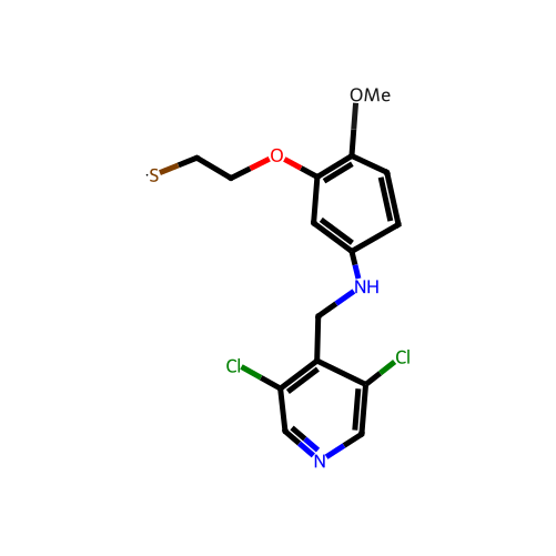 COc1ccc(NCc2c(Cl)cncc2Cl)cc1OCC[S]